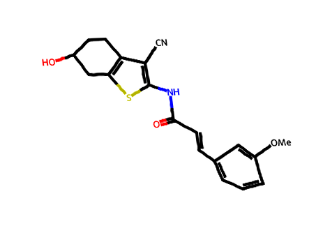 COc1cccc(C=CC(=O)Nc2sc3c(c2C#N)CCC(O)C3)c1